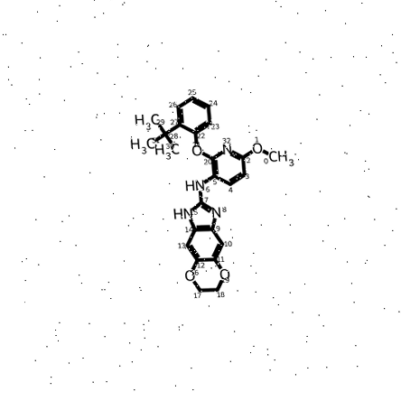 COc1ccc(Nc2nc3cc4c(cc3[nH]2)OCCO4)c(Oc2ccccc2C(C)(C)C)n1